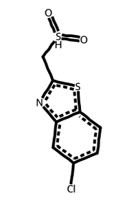 O=[SH](=O)Cc1nc2cc(Cl)ccc2s1